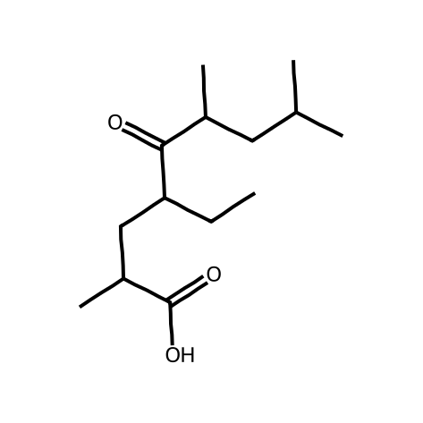 CCC(CC(C)C(=O)O)C(=O)C(C)CC(C)C